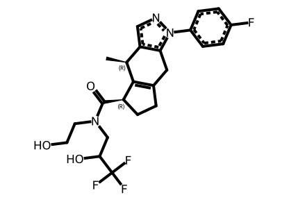 C[C@@H]1C2=C(CC[C@H]2C(=O)N(CCO)CC(O)C(F)(F)F)Cc2c1cnn2-c1ccc(F)cc1